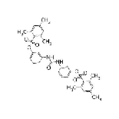 Cc1cc(C)c(S(=O)(=O)Oc2cccc(NC(=O)Nc3cccc(OS(=O)(=O)c4c(C)cc(C)cc4C)c3)c2)c(C)c1